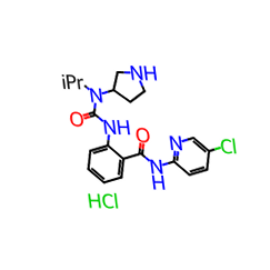 CC(C)N(C(=O)Nc1ccccc1C(=O)Nc1ccc(Cl)cn1)C1CCNC1.Cl